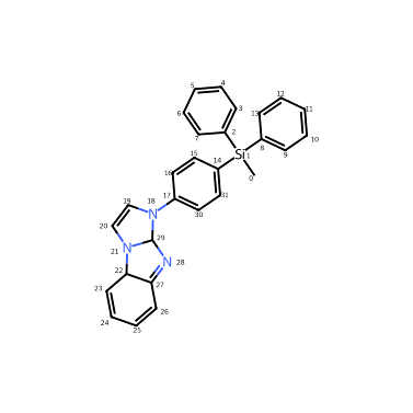 C[Si](c1ccccc1)(c1ccccc1)c1ccc(N2C=CN3C4C=CC=CC4=NC23)cc1